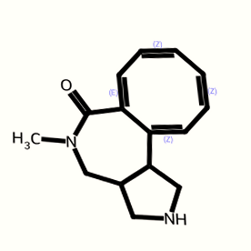 CN1CC2CNCC2C2=C/C=C\C=C/C=C\2C1=O